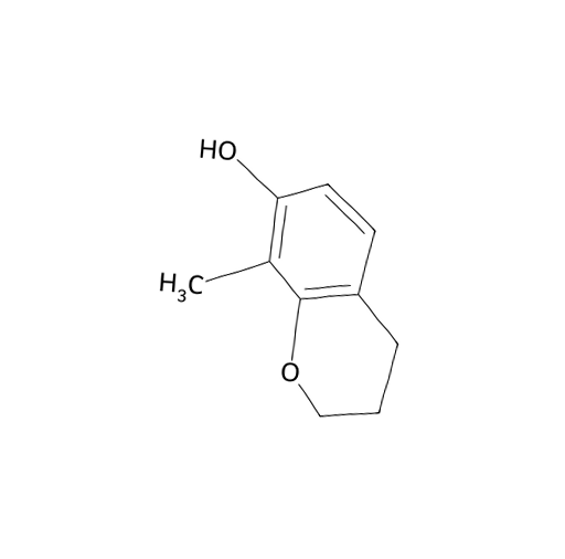 Cc1c(O)ccc2c1OCCC2